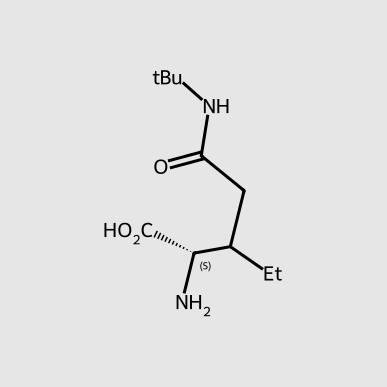 CCC(CC(=O)NC(C)(C)C)[C@H](N)C(=O)O